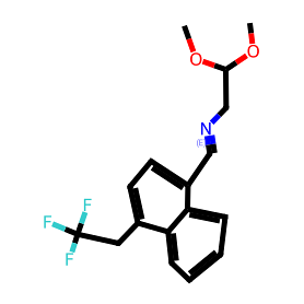 COC(C/N=C/c1ccc(CC(F)(F)F)c2ccccc12)OC